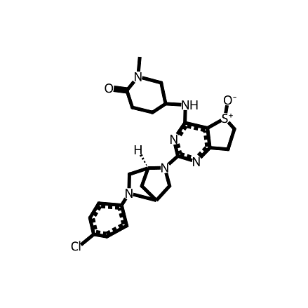 CN1CC(Nc2nc(N3CC4C[C@H]3CN4c3ccc(Cl)cc3)nc3c2[S+]([O-])CC3)CCC1=O